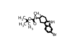 CN(C(=O)OC(C)(C)C)C1CCc2[nH]c3cc(Br)ccc3c2C1